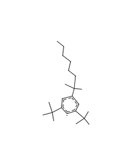 CCCCCCC(C)(C)c1cc(C(C)(C)C)[c]c(C(C)(C)C)c1